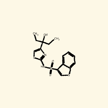 CCC(O)(CC)c1csc(NS(=O)(=O)c2csc3ccccc23)n1